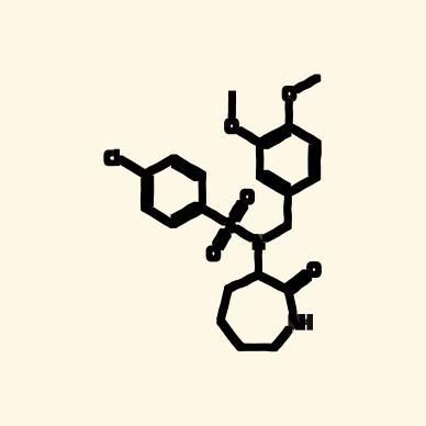 COc1ccc(CN(C2CCCCNC2=O)S(=O)(=O)c2ccc(Cl)cc2)cc1OC